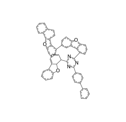 C1=CC(c2nc(-c3ccc(-c4ccccc4)cc3)nc(-c3cccc4oc5ccc(-c6cccc7oc8c9ccccc9ccc8c67)cc5c34)n2)C2Oc3ccccc3C2=C1